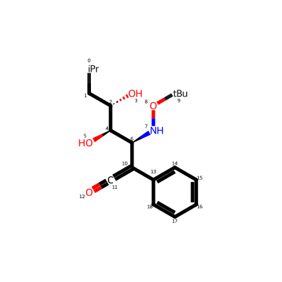 CC(C)C[C@H](O)[C@H](O)[C@@H](NOC(C)(C)C)C(=C=O)c1ccccc1